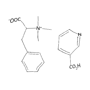 C[N+](C)(C)C(Cc1ccccc1)C(=O)[O-].O=C(O)c1cccnc1